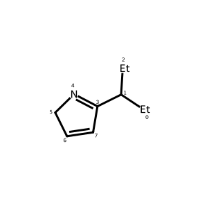 CCC(CC)C1=NCC=C1